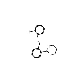 Clc1ccccc1SCc1ccccc1C1=NCCCN1